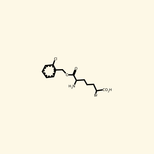 NC(CCCC(Br)C(=O)O)C(=O)OCc1ccccc1Cl